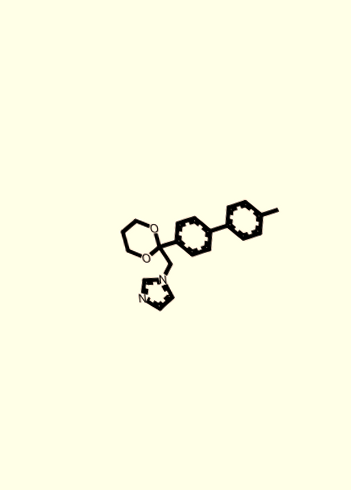 Cc1ccc(-c2ccc(C3(Cn4ccnc4)OCCCO3)cc2)cc1